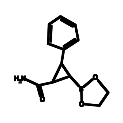 NC(=O)C1C(B2OCCO2)C1c1ccccc1